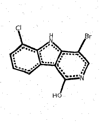 Oc1ncc(Br)c2[nH]c3c(Cl)cccc3c12